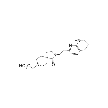 O=C(O)CN1CCC2(CC1)CCN(CCc1ccc3c(n1)NCCC3)C2=O